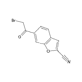 N#Cc1cc2ccc(C(=O)CBr)cc2o1